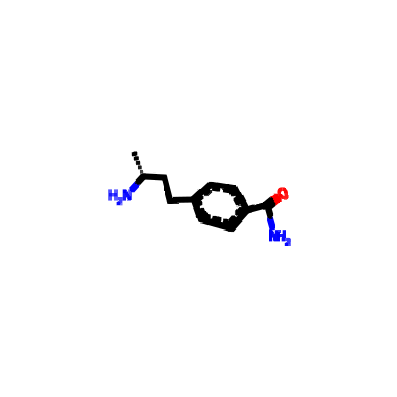 C[C@@H](N)CCc1ccc(C(N)=O)cc1